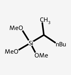 CCCCC(C)[Si](OC)(OC)OC